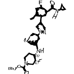 Cc1cc(F)c(C(=O)NC2CC2)cc1-c1cnn(-c2cncc(N[C@H]3CCN(C(=O)OC(C)(C)C)C[C@H]3F)c2)c1